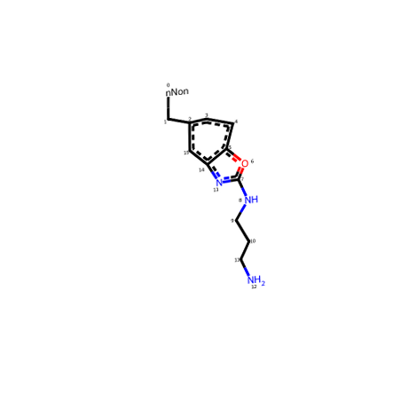 CCCCCCCCCCc1ccc2oc(NCCCN)nc2c1